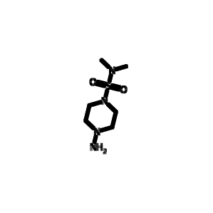 CN(C)S(=O)(=O)N1CCN(N)CC1